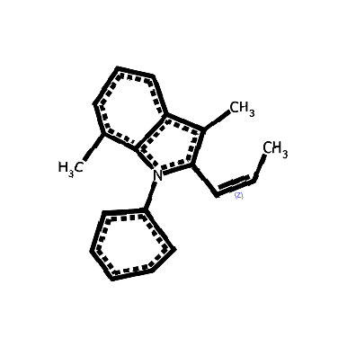 C/C=C\c1c(C)c2cccc(C)c2n1-c1ccccc1